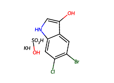 O=S(=O)(O)O.Oc1c[nH]c2cc(Cl)c(Br)cc12.[KH]